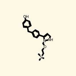 C[Si](C)(C)CCOCN1NCC=C1c1ccc(Cc2ccc(O)cc2)cc1